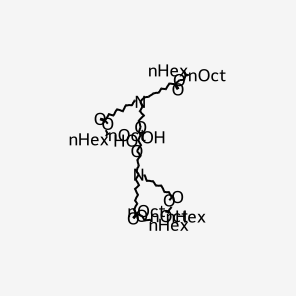 CCCCCCCCC(CCCCCC)COC(=O)CCCCCCCN(CCCCCCCC(=O)OCC(CCCCCC)CCCCCCCC)CCCCOCC(O)C(O)COCCCCN(CCCCCCCC(=O)OCC(CCCCCC)CCCCCCCC)CCCCCCCC(=O)OCC(CCCCCC)CCCCCCCC